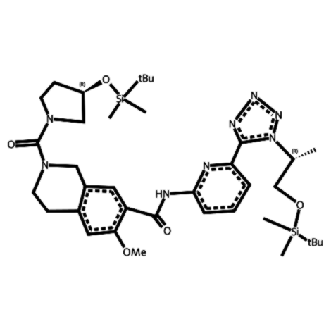 COc1cc2c(cc1C(=O)Nc1cccc(-c3nnnn3[C@H](C)CO[Si](C)(C)C(C)(C)C)n1)CN(C(=O)N1CC[C@@H](O[Si](C)(C)C(C)(C)C)C1)CC2